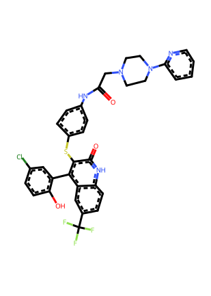 O=C(CN1CCN(c2ccccn2)CC1)Nc1ccc(Sc2c(-c3cc(Cl)ccc3O)c3cc(C(F)(F)F)ccc3[nH]c2=O)cc1